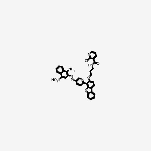 Nc1c(N=Nc2ccc(-c3c(OCCCNC(=O)c4cccnc4Cl)ccc4c3sc3ccccc34)nc2)cc(S(=O)(=O)O)c2ccccc12